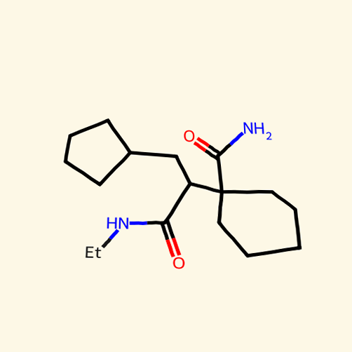 CCNC(=O)C(CC1CCCC1)C1(C(N)=O)CCCCC1